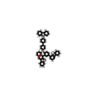 c1ccc(N(c2ccc(-c3ccc(-n4c5ccccc5c5ccccc54)cc3)cc2)c2ccc(-c3cccc4c3oc3ccccc34)cc2-c2cccc3c2oc2ccccc23)cc1